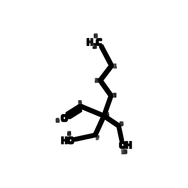 CCCCC(C=O)(CO)CO